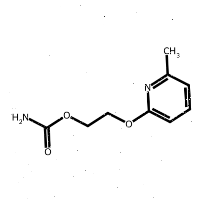 Cc1cccc(OCCOC(N)=O)n1